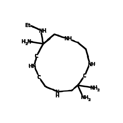 CCNC1(N)CNCCNCC(N)(N)CNCCNC1